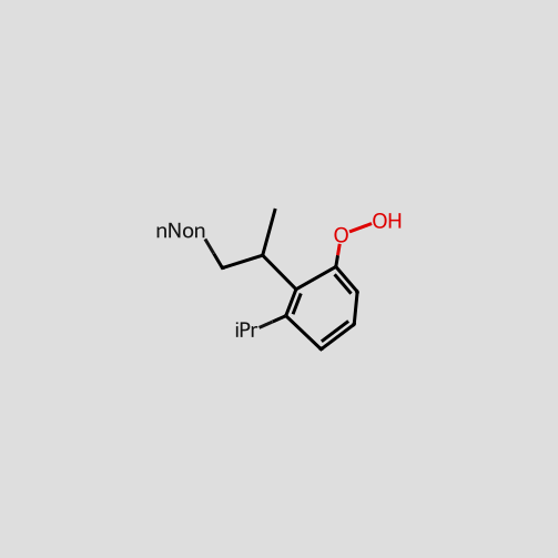 CCCCCCCCCCC(C)c1c(OO)cccc1C(C)C